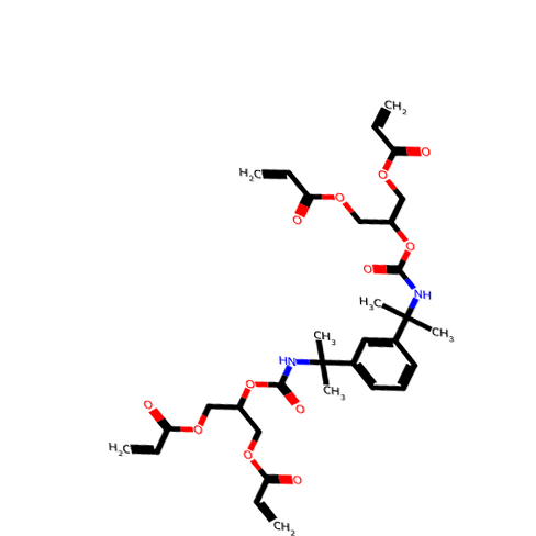 C=CC(=O)OCC(COC(=O)C=C)OC(=O)NC(C)(C)c1cccc(C(C)(C)NC(=O)OC(COC(=O)C=C)COC(=O)C=C)c1